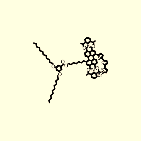 CCCCCCCCCCCCOc1cc(OCCCCCCCCCCCC)cc(C(=O)OCCCCCCCc2cc3c4c(ccc5c6c(-c7ccc(-c8ccc(-c9ccc(Br)s9)s8)s7)cc7c8c(ccc(c2c45)c86)C(=O)N(c2c(C(C)C)cccc2C(C)C)C7=O)C(=O)N(c2c(C(C)C)cccc2C(C)C)C3=O)c1